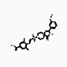 Cc1cc(C(N)=O)cc(C)c1/C=C/S(=O)(=O)N1CCC2(CC1)N=C(c1cccc(OF)c1)NC2=O